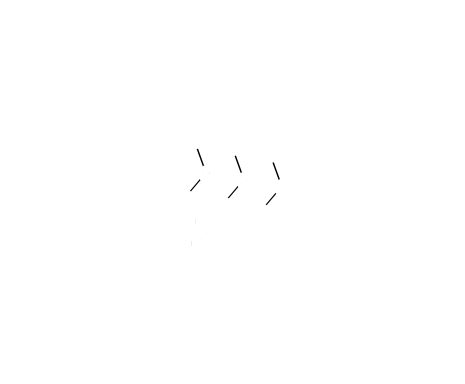 [O-]O[O-].[O-]O[O-].[O-]O[O-].[Tm+3].[Tm+3]